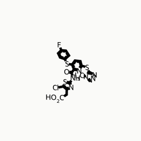 Cn1cnnc1Sc1ccc(Sc2ccc(F)cc2)c(C(=O)Nc2nc(CC(=O)O)c(Cl)s2)n1